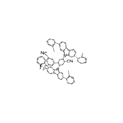 Cc1ccccc1-c1ccc2c3ccc(-c4ccccc4C)cc3n(-c3cc(-c4cc(C#N)cc(C(F)(F)F)c4)c(-n4c5cc(-c6ccccc6C)ccc5c5ccc(-c6ccccc6C)cc54)cc3C#N)c2c1